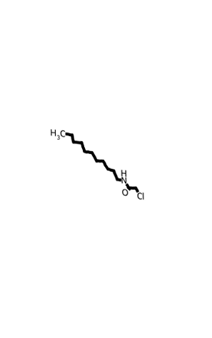 CCCCCCCCCCCNC(=O)CCl